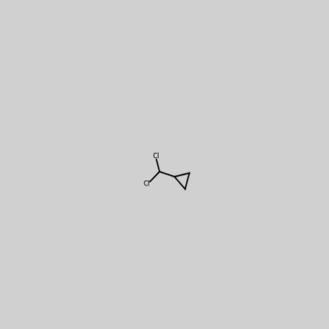 ClC(Cl)C1CC1